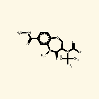 CN1C(=O)C(N(C(=O)O)C(C)(C)C)COc2ccc(C(=O)NN)cc21